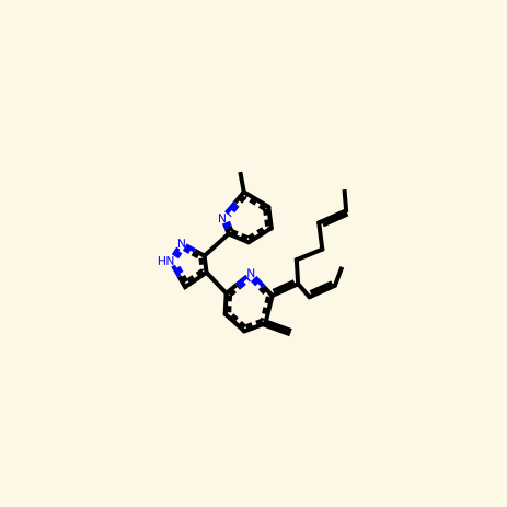 C=c1ccc(-c2c[nH]nc2-c2cccc(C)n2)n/c1=C(/C=C\C)CC/C=C/C